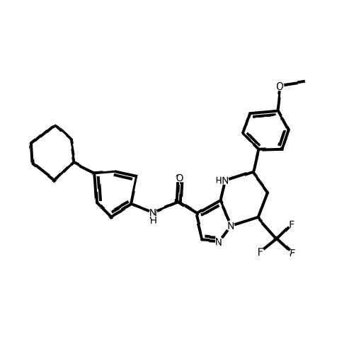 COc1ccc(C2CC(C(F)(F)F)n3ncc(C(=O)Nc4ccc(C5CCCCC5)cc4)c3N2)cc1